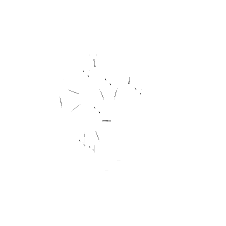 CNC(=O)c1cc(NC(=O)c2cnn3c2CC(F)(F)C3)c2n1CC(=O)NC2c1cc(F)ccc1Cl